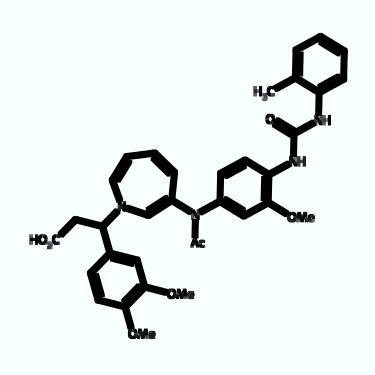 COc1cc(N(C(C)=O)C2=CN(C(CC(=O)O)c3ccc(OC)c(OC)c3)C=CC=C2)ccc1NC(=O)Nc1ccccc1C